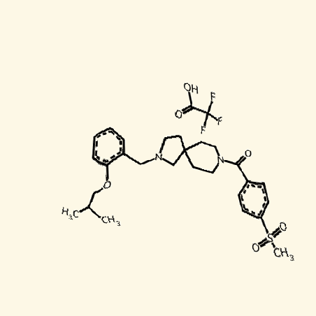 CC(C)COc1ccccc1CN1CCC2(CCN(C(=O)c3ccc(S(C)(=O)=O)cc3)CC2)C1.O=C(O)C(F)(F)F